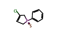 S=P1(c2ccccc2)CC=C(Cl)C1